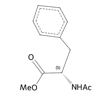 COC(=O)[C@H](Cc1ccccc1)NC(C)=O